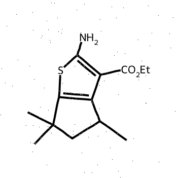 CCOC(=O)c1c(N)sc2c1C(C)CC2(C)C